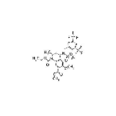 CCOC(=O)N1c2cc(C(=O)OC)c(OC)cc2C(N(Cc2cc(C(F)(F)F)cc(C(F)(F)F)c2)C(=O)OC)CC1C